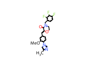 COc1cc(/C=C2\OCCN(Cc3ccc(F)c(F)c3F)C2=O)ccc1-n1cnc(C)c1